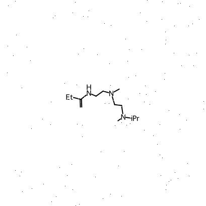 C=C(CC)NCCN(C)CCN(C)C(C)C